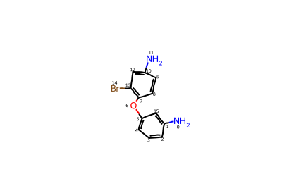 Nc1cccc(Oc2ccc(N)cc2Br)c1